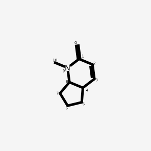 C=C1C=CC2CCCC2N1C